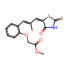 COC(=O)COc1ccccc1C=C(C)C=C1SC(=S)NC1=O